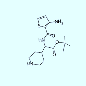 CC(C)(C)OC(=O)C(NC(=O)c1sccc1N)C1CCNCC1